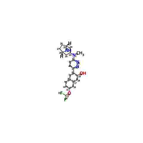 CN(c1ccc(-c2cc3ccc(OC(F)F)cc3cc2O)nn1)C1C[C@H]2CC[C@@H](C1)N2